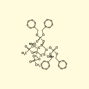 CO[C@@H]1[C@H](OP(C)(C)=O)[C@@H](OP(C)(C)=O)[C@H](OC)[C@@H](OP(=O)(OCc2ccccc2)OCc2ccccc2)[C@@H]1OP(=O)(OCc1ccccc1)OCc1ccccc1